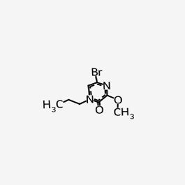 CCCn1cc(Br)nc(OC)c1=O